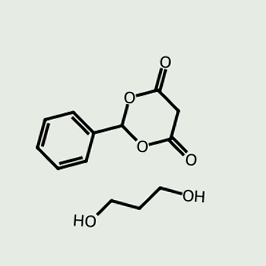 O=C1CC(=O)OC(c2ccccc2)O1.OCCCO